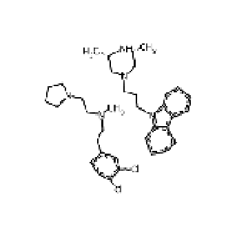 CN(CCc1ccc(Cl)c(Cl)c1)CCN1CCCC1.C[C@@H]1CN(CCCn2c3ccccc3c3ccccc32)C[C@H](C)N1